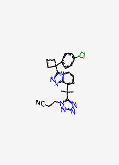 CC(C)(c1cccn2c(C3(c4ccc(Cl)cc4)CCC3)nnc12)c1nnnn1CCC#N